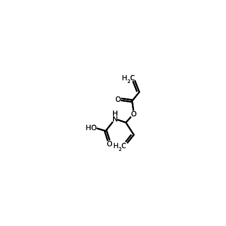 C=CC(=O)OC(C=C)NC(=O)O